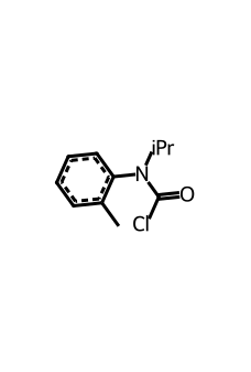 Cc1ccccc1N(C(=O)Cl)C(C)C